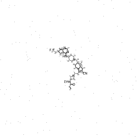 C=CC(=O)N(CC)C1CN(CCn2c(C#N)cc3c(C)c(CN4CCC(Nc5ncnc6sc(CC(F)(F)F)cc56)CC4)ccc32)C1